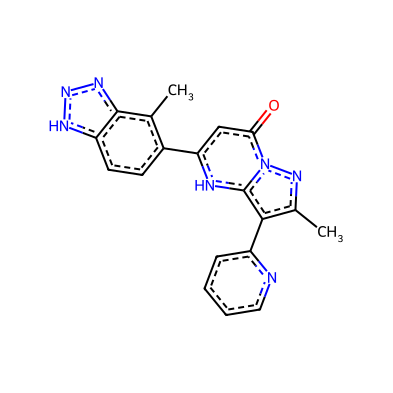 Cc1nn2c(=O)cc(-c3ccc4[nH]nnc4c3C)[nH]c2c1-c1ccccn1